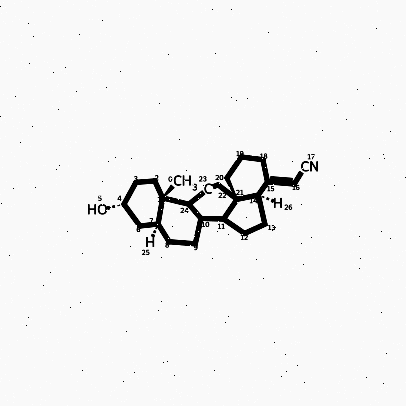 C[C@]12CC[C@@H](O)C[C@@H]1CCC1C3CC[C@@H]4/C(=C/C#N)CCC[C@]34CCC12